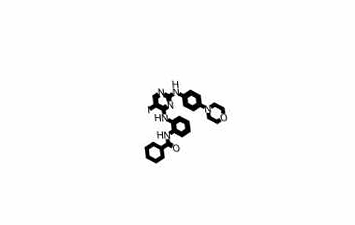 O=C(Nc1ccccc1Nc1nc(Nc2ccc(N3CCOCC3)cc2)ncc1I)C1CCCCC1